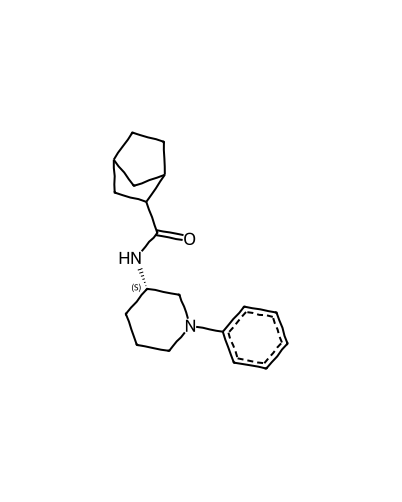 O=C(N[C@H]1CCCN(c2ccccc2)C1)C1CC2CCC1C2